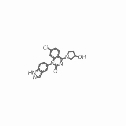 O=c1nc(N2CCC(O)C2)c2ccc(Cl)cc2n1-c1ccc2[nH]ncc2c1